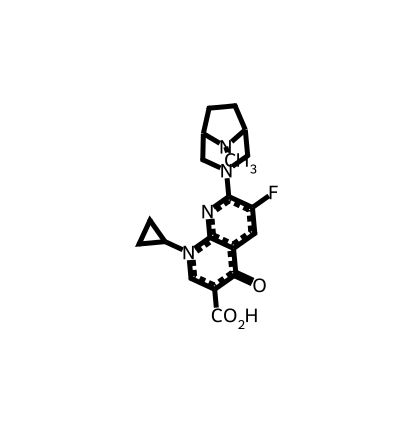 CN1C2CCC1CN(c1nc3c(cc1F)c(=O)c(C(=O)O)cn3C1CC1)C2